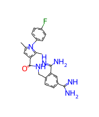 Cc1cc(C(=O)NCc2ccc(C(=N)N)cc2C(=N)N)c(C)n1-c1ccc(F)cc1